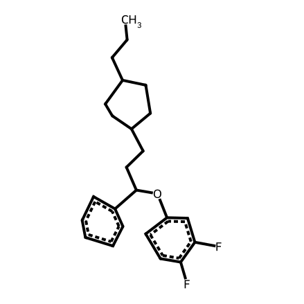 CCCC1CCC(CCC(Oc2ccc(F)c(F)c2)c2ccccc2)CC1